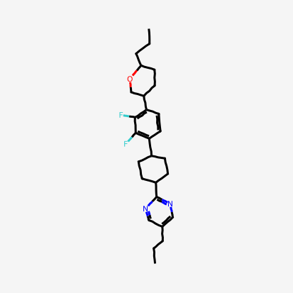 CCCc1cnc(C2CCC(c3ccc(C4CCC(CCC)OC4)c(F)c3F)CC2)nc1